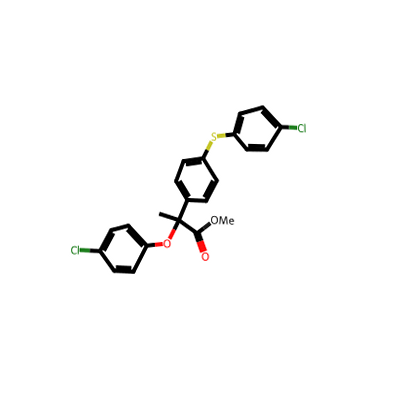 COC(=O)C(C)(Oc1ccc(Cl)cc1)c1ccc(Sc2ccc(Cl)cc2)cc1